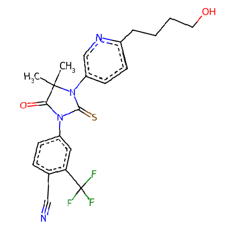 CC1(C)C(=O)N(c2ccc(C#N)c(C(F)(F)F)c2)C(=S)N1c1ccc(CCCCO)nc1